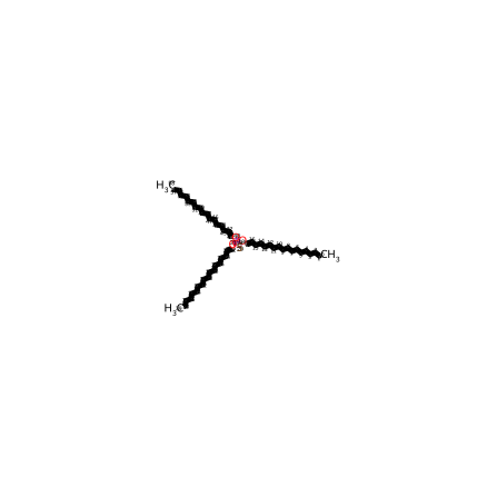 CCCCCCCCCCCCCCCCC=COP(=S)(OC=CCCCCCCCCCCCCCCCC)OC=CCCCCCCCCCCCCCCCC